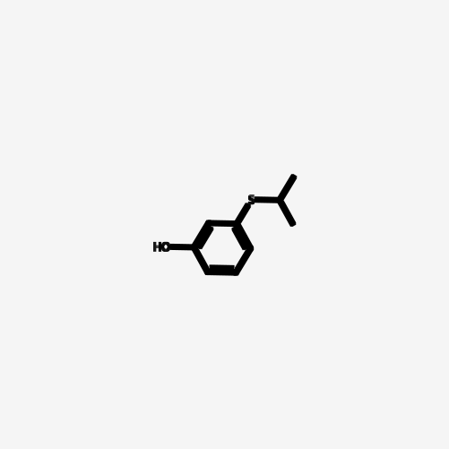 CC(C)Sc1cccc(O)c1